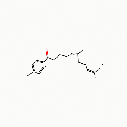 CC(C)=CCCC(C)CCCCC(=O)c1ccc(C)cc1